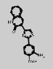 COc1ccc(-c2nc(-c3cc4ccccc4[nH]c3=O)cs2)cc1N